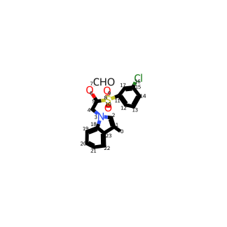 Cc1cn(CC(OC=O)S(=O)(=O)c2cccc(Cl)c2)c2ccccc12